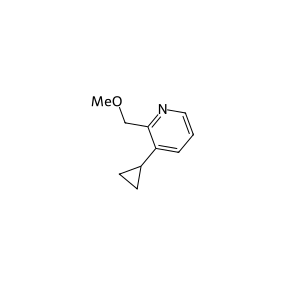 COCc1ncccc1C1CC1